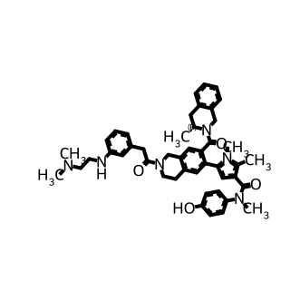 Cc1c(C(=O)N(C)c2ccc(O)cc2)cc(-c2cc3c(cc2C(=O)N2Cc4ccccc4C[C@H]2C)CN(C(=O)Cc2cccc(NCCN(C)C)c2)CC3)n1C